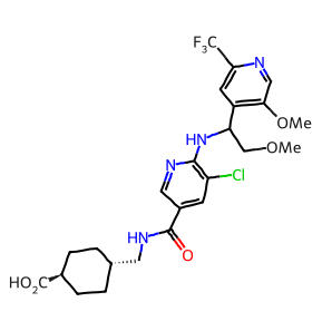 COCC(Nc1ncc(C(=O)NC[C@H]2CC[C@H](C(=O)O)CC2)cc1Cl)c1cc(C(F)(F)F)ncc1OC